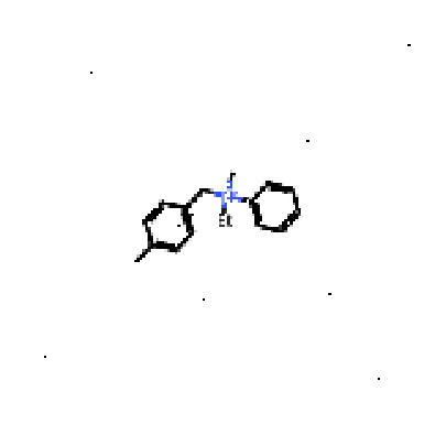 CC[N+](C)(Cc1ccc(C)cc1)c1ccccc1